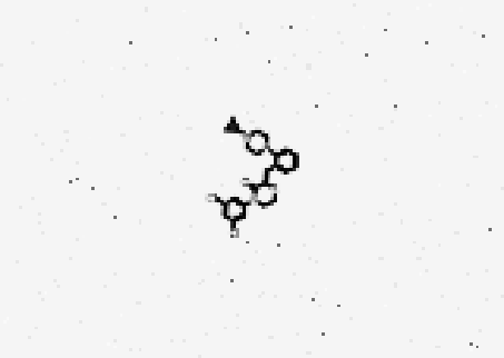 O=C1/C(=C/c2ccccc2N2CCN(C3CC3)CC2)SCCN1c1cc(Cl)cc(Cl)c1